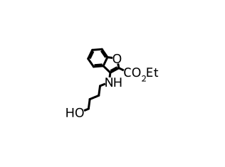 CCOC(=O)c1oc2ccccc2c1NCCCCO